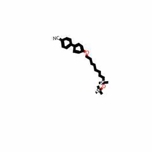 C[Si](C)(C)O[Si](C)(C)CCCCCCCCOc1ccc(-c2ccc(C#N)cc2)cc1